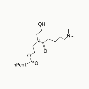 CCCCCC(=O)OCCN(CCO)C(=O)CCCCN(C)C